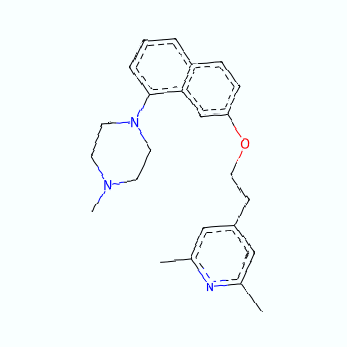 Cc1cc(CCOc2ccc3cccc(N4CCN(C)CC4)c3c2)cc(C)n1